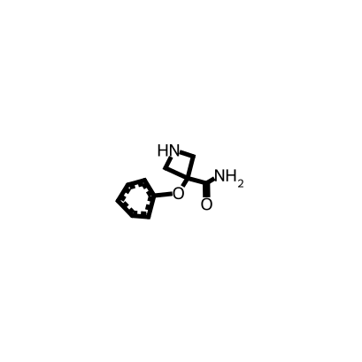 NC(=O)C1(Oc2ccccc2)CNC1